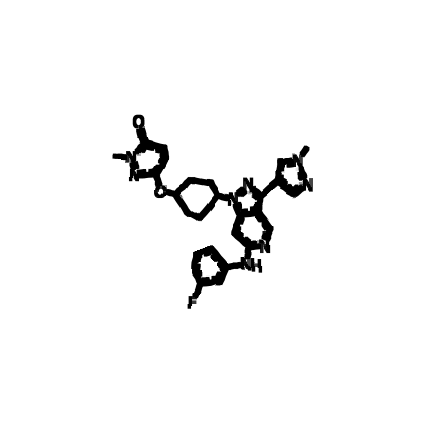 Cn1cc(-c2nn(C3CCC(Oc4ccc(=O)n(C)n4)CC3)c3cc(Nc4cccc(F)c4)ncc23)cn1